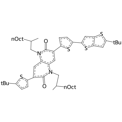 CCCCCCCCC(C)Cn1c(=O)c(-c2ccc(-c3cc4sc(C(C)(C)C)cc4s3)s2)cc2c1cc(-c1ccc(C(C)(C)C)s1)c(=O)n2CC(C)CCCCCCCC